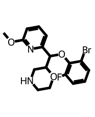 COc1cccc(C(Oc2c(F)cccc2Br)C2CNCCO2)n1